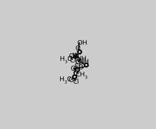 COc1cc(Cn2c(C)cc(OCc3ccccc3CNC(=O)Nc3cc(C(C)(C)C)nn3-c3cccc(OCCO)c3)c(Cl)c2=O)ccc1Cl